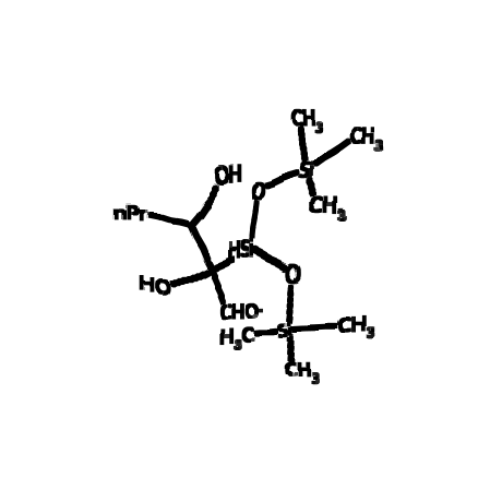 CCCC(O)C(O)([C]=O)[SiH](O[Si](C)(C)C)O[Si](C)(C)C